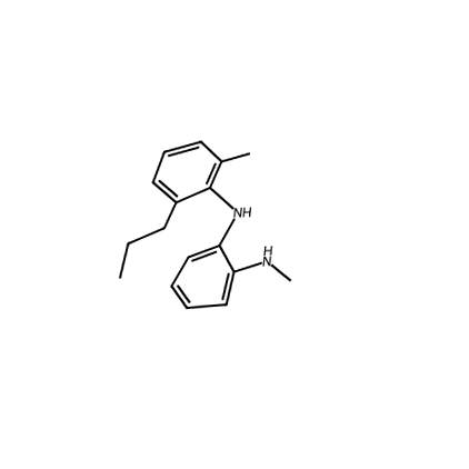 CCCc1cccc(C)c1Nc1ccccc1NC